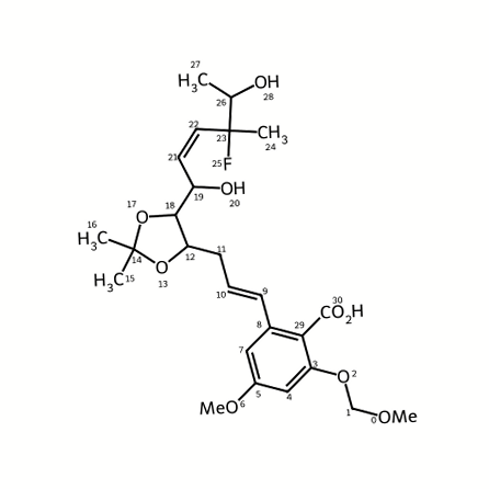 COCOc1cc(OC)cc(/C=C/CC2OC(C)(C)OC2C(O)/C=C\C(C)(F)C(C)O)c1C(=O)O